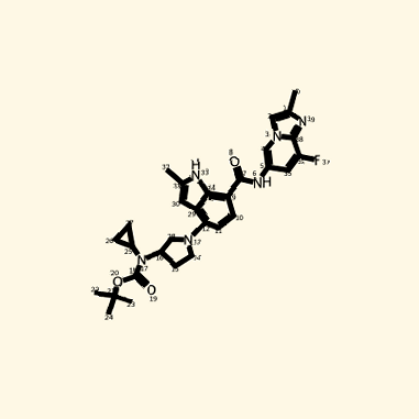 Cc1cn2cc(NC(=O)c3ccc(N4CCC(N(C(=O)OC(C)(C)C)C5CC5)C4)c4cc(C)[nH]c34)cc(F)c2n1